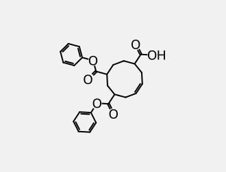 O=C(O)C1CC=CCC(C(=O)Oc2ccccc2)CC(C(=O)Oc2ccccc2)CC1